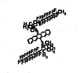 CC(C)[Si](C#Cc1c2cc3ccccc3cc2c(C#C[Si](CCC(F)(F)C(F)(F)C(F)(F)C(F)(F)C(F)(F)C(F)(F)C(F)(F)C(F)(F)F)(C(C)C)C(C)C)c2cc3ccccc3cc12)(CCC(F)(F)C(F)(F)C(F)(F)C(F)(F)C(F)(F)C(F)(F)C(F)(F)C(C)(F)F)C(C)C